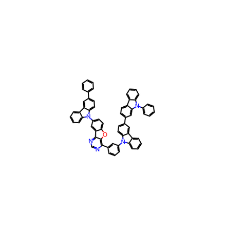 c1ccc(-c2ccc3c(c2)c2ccccc2n3-c2ccc3oc4c(-c5cccc(-n6c7ccccc7c7cc(-c8ccc9c%10ccccc%10n(-c%10ccccc%10)c9c8)ccc76)c5)ncnc4c3c2)cc1